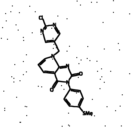 CSc1ccc(-n2c(=O)nc3n(Cc4cnc(Cl)nc4)cccc-3c2=O)cc1